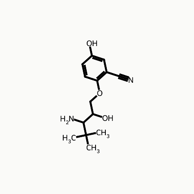 CC(C)(C)C(N)C(O)COc1ccc(O)cc1C#N